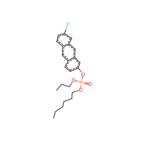 CCCCCCOP(=O)(OCCC)Oc1ccc2cc3ccc(F)cc3cc2c1